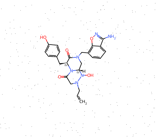 C=CCN1CC(=O)N2[C@@H](Cc3ccc(O)cc3)C(=O)N(Cc3cccc4c(N)noc34)C[C@@H]2N1O